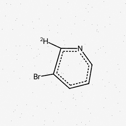 [2H]c1ncccc1Br